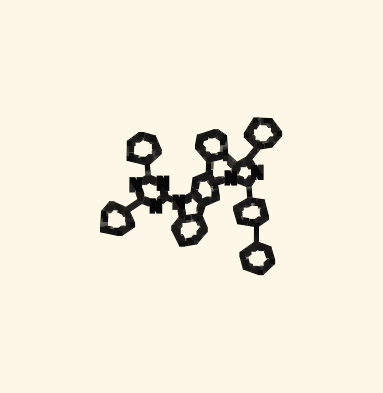 c1ccc(-c2ccc(-c3nc(-c4ccccc4)c4c5ccccc5c5cc6c(cc5n34)c3ccccc3n6-c3nc(-c4ccccc4)nc(-c4ccccc4)n3)cc2)cc1